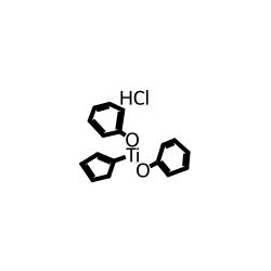 C1=CC[C]([Ti]([O]c2ccccc2)[O]c2ccccc2)=C1.Cl